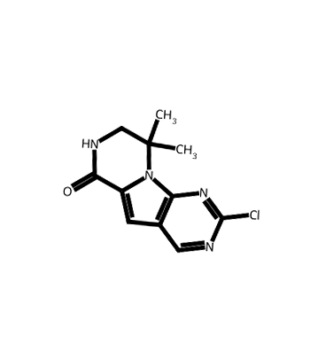 CC1(C)CNC(=O)c2cc3cnc(Cl)nc3n21